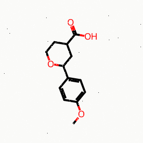 COc1ccc(C2CC(C(=O)O)CCO2)cc1